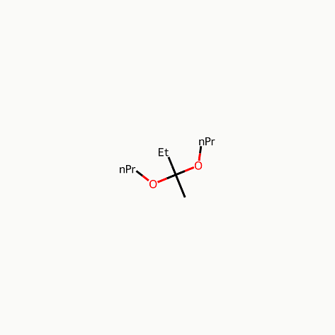 CCCOC(C)(CC)OCCC